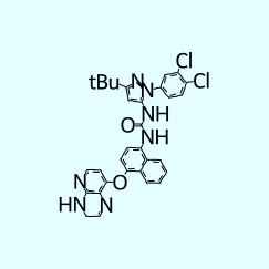 CC(C)(C)c1cc(NC(=O)Nc2ccc(Oc3ccnc4c3N=CCN4)c3ccccc23)n(-c2ccc(Cl)c(Cl)c2)n1